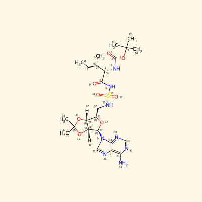 CC[C@H](C)[C@H](NC(=O)OC(C)(C)C)C(=O)NS(=O)(=O)NC[C@H]1O[C@@H](n2cnc3c(N)ncnc32)[C@@H]2OC(C)(C)O[C@@H]21